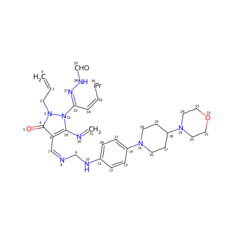 C=CCn1c(=O)c(/C=N\CNc2ccc(N3CCC(N4CCOCC4)CC3)cc2)c(N=C)n1C(/C=C\C(C)C)=N/NC=O